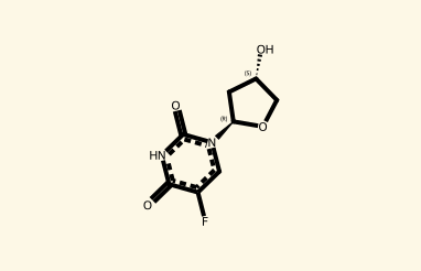 O=c1[nH]c(=O)n([C@H]2C[C@H](O)CO2)cc1F